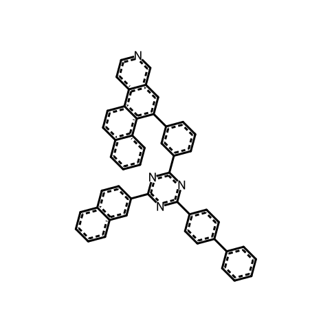 c1ccc(-c2ccc(-c3nc(-c4cccc(-c5cc6cnccc6c6ccc7ccccc7c56)c4)nc(-c4ccc5ccccc5c4)n3)cc2)cc1